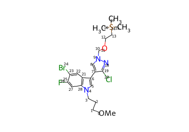 COCCCn1cc(-c2cn(COCCS(C)(C)C)nc2Cl)c2cc(Br)c(F)cc21